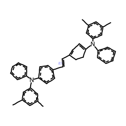 Cc1cc(C)cc(N(C2=CC=C(/C=C/c3ccc(N(c4ccccc4)c4cc(C)cc(C)c4)cc3)CC2)c2ccccc2)c1